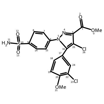 COC(=O)c1nn(-c2ccc(S(N)(=O)=O)cc2)c(-c2ccc(OC)c(Cl)c2)c1Cl